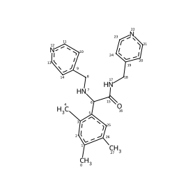 Cc1cc(C)c(C(NCc2ccncc2)C(=O)NCc2ccncc2)cc1C